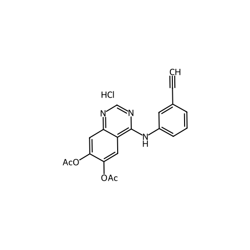 C#Cc1cccc(Nc2ncnc3cc(OC(C)=O)c(OC(C)=O)cc23)c1.Cl